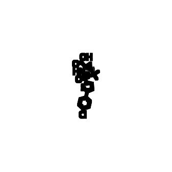 CC(C)(C)[C@@H]1C[C@]1(NS(=O)(=O)c1ccc(-c2ccc(Cl)cc2)s1)C(=O)O